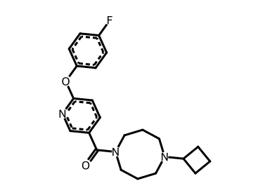 O=C(c1ccc(Oc2ccc(F)cc2)nc1)N1CCCN(C2CCC2)CCC1